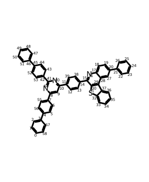 c1ccc(-c2ccc(-c3cc(-c4ccc(-c5nc6ccc(-c7ccccc7)cc6c6c5sc5ccccc56)cc4)nc(-c4ccc(-c5ccccc5)cc4)n3)cc2)cc1